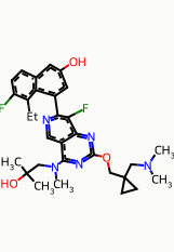 CCc1c(F)ccc2cc(O)cc(-c3ncc4c(N(C)CC(C)(C)O)nc(OCC5(CN(C)C)CC5)nc4c3F)c12